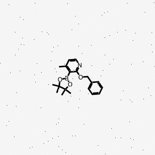 Cc1ccnc(OCc2ccccc2)c1B1OC(C)(C)C(C)(C)O1